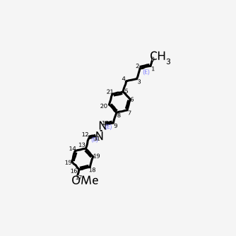 C/C=C/CCc1ccc(/C=N/N=C/c2ccc(OC)cc2)cc1